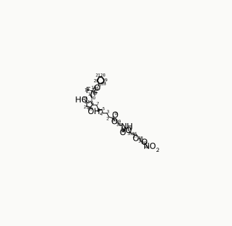 O=C(CCCC=CC[C@@H]1[C@@H](C=CC(F)(F)COc2ccccc2)[C@H](O)C[C@@H]1O)OCCNC(=O)OCCOCCO[N+](=O)[O-]